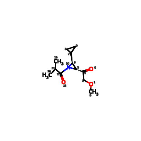 COCC(=O)[C@H]1[C@H](C2CC2)N1C(=O)C(C)C